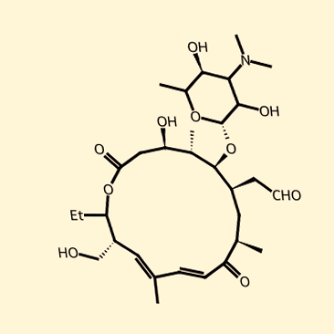 CCC1OC(=O)C[C@@H](O)[C@H](C)[C@@H](O[C@@H]2OC(C)[C@@H](O)C(N(C)C)C2O)[C@@H](CC=O)C[C@@H](C)C(=O)/C=C/C(C)=C/[C@@H]1CO